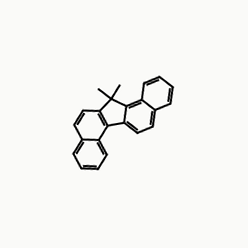 CC1(C)c2ccc3ccccc3c2-c2ccc3ccccc3c21